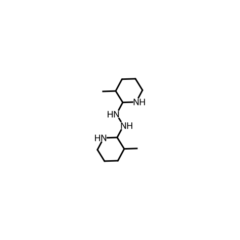 CC1CCCNC1NNC1NCCCC1C